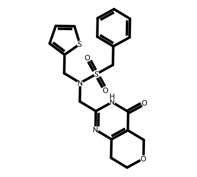 O=c1[nH]c(CN(Cc2cccs2)S(=O)(=O)Cc2ccccc2)nc2c1COCC2